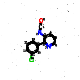 O=C=Nc1cccnc1-c1cccc(Cl)c1